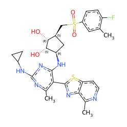 Cc1cc(S(=O)(=O)C[C@H]2C[C@@H](Nc3nc(NC4CC4)nc(C)c3-c3nc4c(C)nccc4s3)[C@H](O)[C@@H]2O)ccc1F